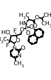 Cc1ccn([C@@H]2O[C@](F)(CO[P@](=O)(N[C@@H](C)C(=O)OC(C)C)Oc3cccc4ccccc34)[C@@H](O)[C@@]2(C)F)c(=O)n1